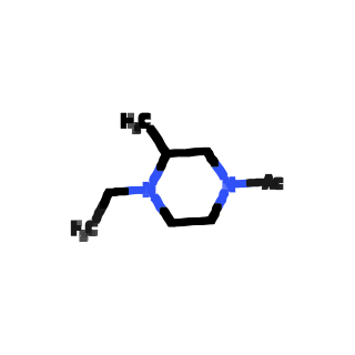 CC(=O)N1CCN(CC(F)(F)F)C(C)C1